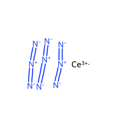 [Ce+3].[N-]=[N+]=[N-].[N-]=[N+]=[N-].[N-]=[N+]=[N-]